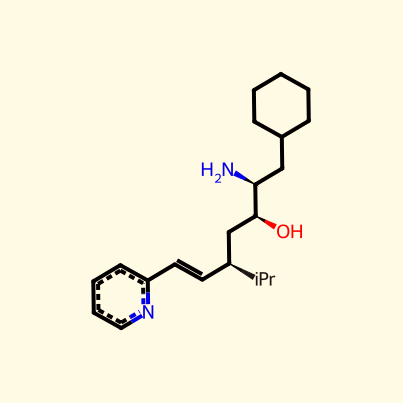 CC(C)[C@@H](C=Cc1ccccn1)C[C@H](O)[C@@H](N)CC1CCCCC1